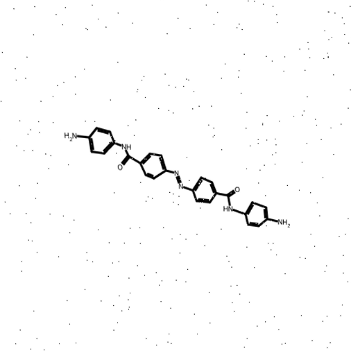 Nc1ccc(NC(=O)c2ccc(N=Nc3ccc(C(=O)Nc4ccc(N)cc4)cc3)cc2)cc1